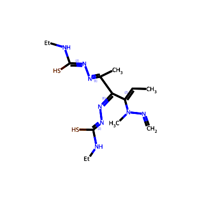 C=NN(C)C(=C\C)/C(=N\N=C(/S)NCC)C(/C)=N/N=C(\S)NCC